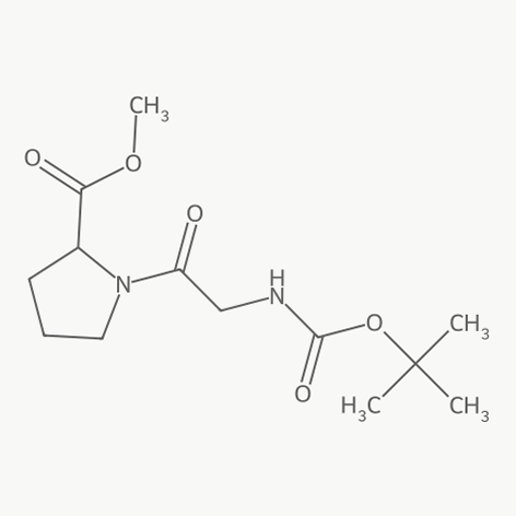 COC(=O)C1CCCN1C(=O)CNC(=O)OC(C)(C)C